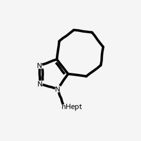 CCCCCCCn1nnc2c1CCCCCC2